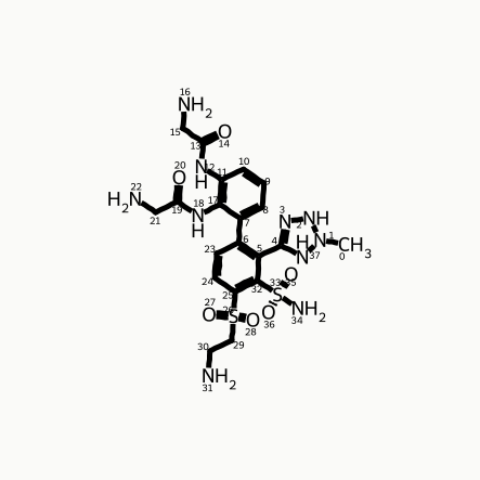 CN1NN=C(c2c(-c3cccc(NC(=O)CN)c3NC(=O)CN)ccc(S(=O)(=O)CCN)c2S(N)(=O)=O)N1